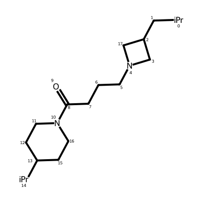 CC(C)CC1CN(CCCC(=O)N2CCC(C(C)C)CC2)C1